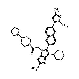 Cc1cc(-c2ccc3cc(-c4c(C5CCCCC5)c5sc(C(=O)O)cc5n4CC(=O)N4CCC(N5CCCC5)CC4)ccc3n2)c(C)o1